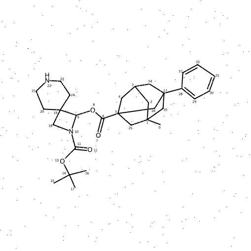 CC12CC3CC(C(=O)OC4N(C(=O)OC(C)(C)C)CC45CCNCC5)(C1)CC(c1ccccc1)(C3)C2